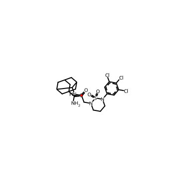 NC(=O)C12CC3CC(C1)C(NC(=O)CN1CCCN(c4cc(Cl)c(Cl)c(Cl)c4)S1(=O)=O)C(C3)C2